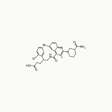 Cc1c(N2CCCC(C(N)=O)C2)nc2ccc(Br)cc2c1C(=O)NCC(CCC(=O)O)c1ccccc1Cl